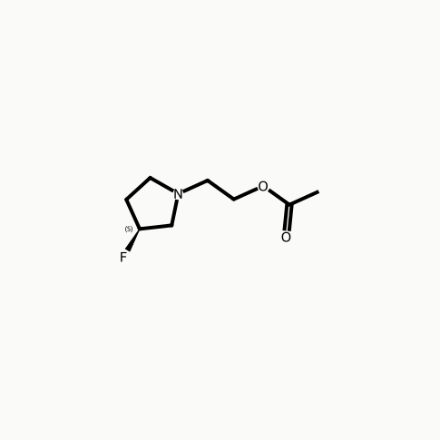 CC(=O)OCCN1CC[C@H](F)C1